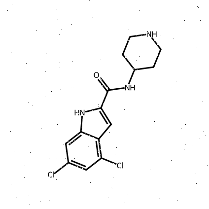 O=C(NC1CCNCC1)c1cc2c(Cl)cc(Cl)cc2[nH]1